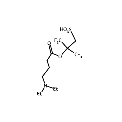 CCN(CC)CCCC(=O)OC(CS(=O)(=O)O)(C(F)(F)F)C(F)(F)F